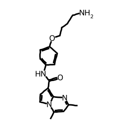 Cc1cc(C)n2ccc(C(=O)Nc3ccc(OCCCCN)cc3)c2n1